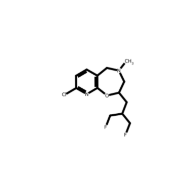 CN1Cc2ccc(Cl)nc2OC(CC(CF)CF)C1